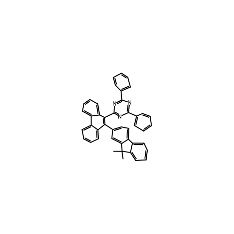 CC1(C)c2ccccc2-c2ccc(-c3c(-c4nc(-c5ccccc5)nc(-c5ccccc5)n4)c4ccccc4c4ccccc34)cc21